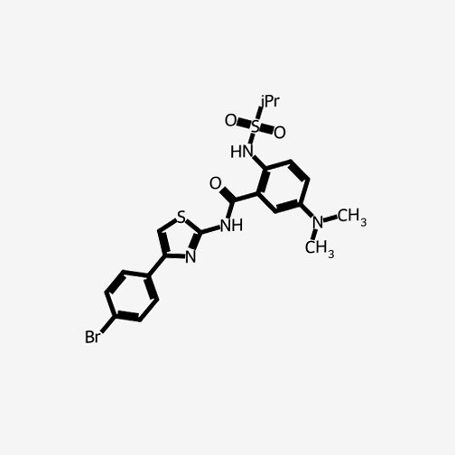 CC(C)S(=O)(=O)Nc1ccc(N(C)C)cc1C(=O)Nc1nc(-c2ccc(Br)cc2)cs1